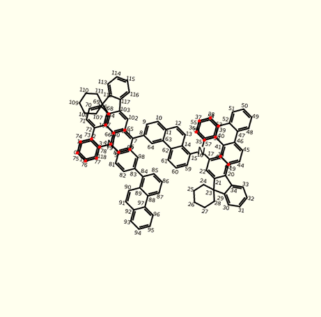 c1ccc(-c2ccc(-c3ccc4ccc5c(N(c6ccc7c(c6)C6(CCCCC6)c6ccccc6-7)c6ccccc6-c6ccccc6-c6ccccc6-c6ccccc6)cccc5c4c3)cc2-c2ccccc2-c2ccccc2N(c2ccc(-c3cccc4c3ccc3ccccc34)cc2)c2ccc3c(c2)C2(CCCCC2)c2ccccc2-3)cc1